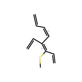 C=C/C=C\C(C=C)=C(/C=C)SC